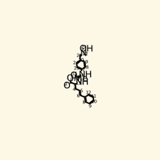 COC(=O)C(CC=Cc1ccccc1)NC(=O)Nc1ccc(C=NO)cc1